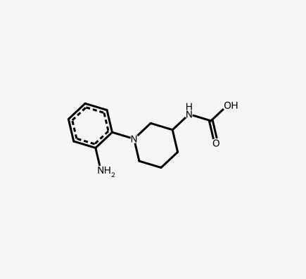 Nc1ccccc1N1CCCC(NC(=O)O)C1